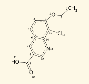 CCOc1ccc2cc(C(=O)O)cnc2c1Cl